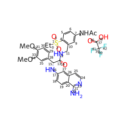 CCS(=O)(=O)c1ccc(NC(C)=O)cc1CNC(=O)[C@H](Nc1ccc2c(N)nccc2c1)c1ccc(OC)c(OC)c1.O=C(O)C(F)(F)F